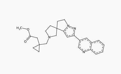 COC(=O)CC1(CN2CCC3(CCn4nc(-c5cnc6ccccc6c5)cc43)C2)CC1